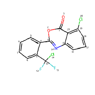 O=c1oc(-c2ccccc2C(F)(F)Cl)nc2cccc(Cl)c12